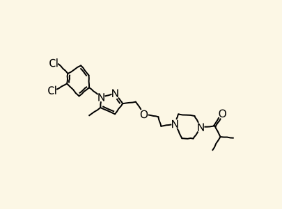 Cc1cc(COCCN2CCN(C(=O)C(C)C)CC2)nn1-c1ccc(Cl)c(Cl)c1